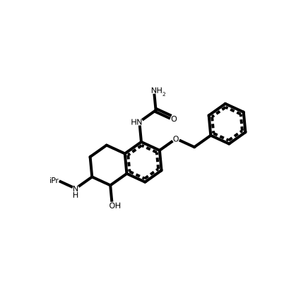 CC(C)NC1CCc2c(ccc(OCc3ccccc3)c2NC(N)=O)C1O